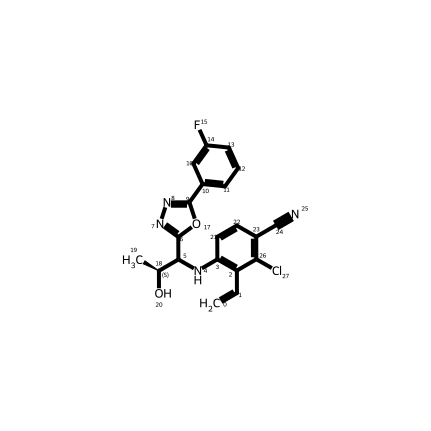 C=Cc1c(NC(c2nnc(-c3cccc(F)c3)o2)[C@H](C)O)ccc(C#N)c1Cl